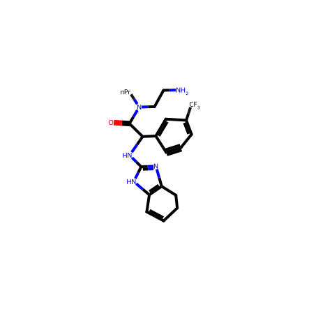 CCCN(CCN)C(=O)C(Nc1nc2c([nH]1)C=CCC2)c1c#ccc(C(F)(F)F)c1